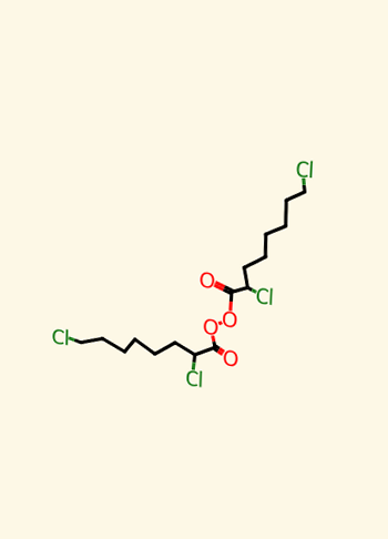 O=C(OOC(=O)C(Cl)CCCCCCCl)C(Cl)CCCCCCCl